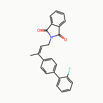 CC(=CCN1C(=O)c2ccccc2C1=O)c1ccc(-c2ccccc2F)cc1